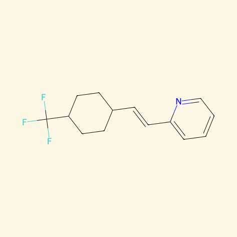 FC(F)(F)C1CCC(/C=C/c2ccccn2)CC1